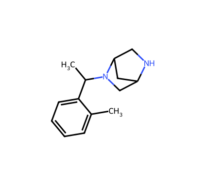 Cc1ccccc1C(C)N1CC2CC1CN2